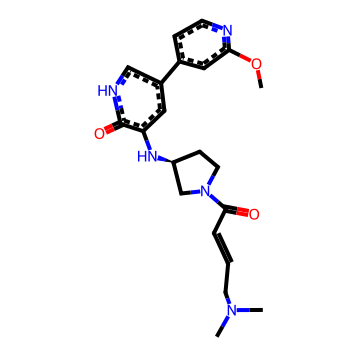 COc1cc(-c2c[nH]c(=O)c(N[C@H]3CCN(C(=O)/C=C/CN(C)C)C3)c2)ccn1